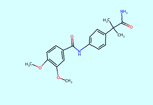 COc1ccc(C(=O)Nc2ccc(C(C)(C)C(N)=O)cc2)cc1OC